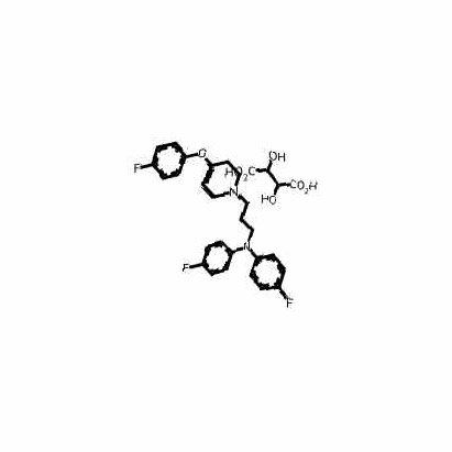 Fc1ccc(OC2=CCN(CCCN(c3ccc(F)cc3)c3ccc(F)cc3)CC2)cc1.O=C(O)C(O)C(O)C(=O)O